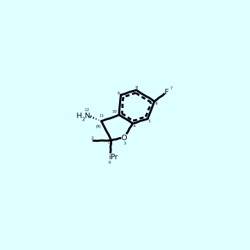 CC(C)C1(C)Oc2cc(F)ccc2[C@H]1N